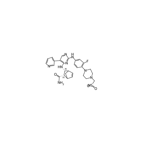 NC(=O)[C@H]1C2C=CC(C2)[C@H]1Nc1nc(Nc2ccc(N3CCN(C[SH](=O)=O)CC3)c(F)c2)ncc1-c1cccnc1